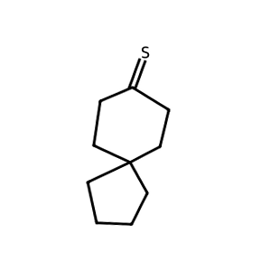 S=C1CCC2(CCCC2)CC1